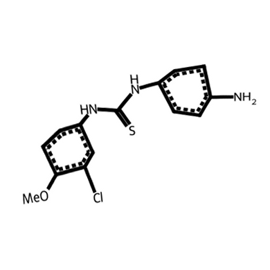 COc1ccc(NC(=S)Nc2ccc(N)cc2)cc1Cl